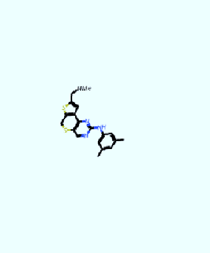 CNCc1cc2c(s1)CSc1cnc(Nc3cc(C)cc(C)c3)nc1-2